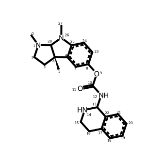 CN1CC[C@@]2(C)c3cc(OC(=O)NC4NCCc5ccccc54)ccc3N(C)C12